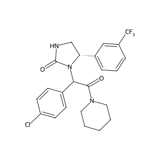 O=C(C(c1ccc(Cl)cc1)N1C(=O)NC[C@@H]1c1cccc(C(F)(F)F)c1)N1CCCCC1